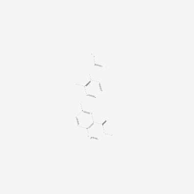 Cn1cnc2ccc(Oc3cccc(OC(N)=O)c3Cl)c(F)c2c1=O